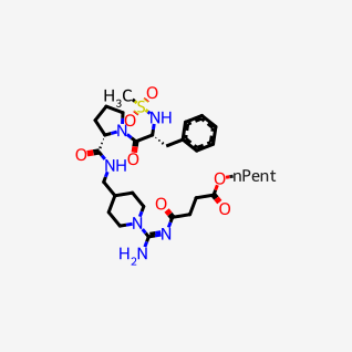 CCCCCOC(=O)CCC(=O)/N=C(/N)N1CCC(CNC(=O)[C@@H]2CCCN2C(=O)[C@@H](Cc2ccccc2)NS(C)(=O)=O)CC1